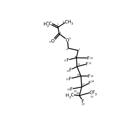 C=C(C)C(=O)OCCC(F)(F)C(F)(F)C(F)(F)C(F)(F)C(C)(F)C(F)(F)F